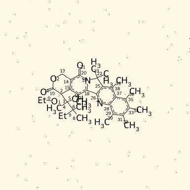 CCO[C@]1(C(C)(C)C(C)(C)CC)C(=O)OCc2c1c(C)c1n(c2=O)C(C)(C)c2c-1nc1c(C)c(C)c(C)c(C)c1c2C